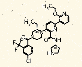 CCOc1ncccc1-c1ccc(N2CCN(C(=O)c3ccc(Cl)cc3C(F)(F)F)C[C@H]2CC)c(C(=O)N[C@@H]2CCNC2)n1